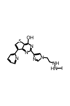 Oc1nc(-c2cn(CCNNI)cn2)nc2c(-c3ccccn3)csc12